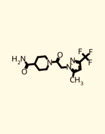 Cc1cc(C(F)(F)F)nn1CC(=O)N1CCC(C(N)=O)CC1